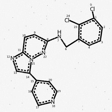 Clc1cccc(CNc2ccc3ncc(-c4ccncc4)n3n2)c1Cl